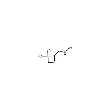 CC(C)NCC1NCC1(C)C